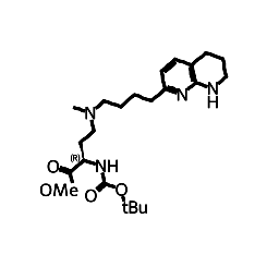 COC(=O)[C@@H](CCN(C)CCCCc1ccc2c(n1)NCCC2)NC(=O)OC(C)(C)C